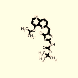 CC(C)Oc1ccnc2ccc(C=C3SC(NC(=O)OC(C)(C)C)=NC3=O)nc12